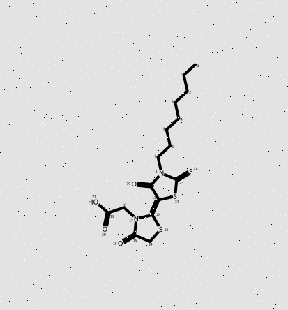 CCCCCCCCN1C(=O)/C(=C2/SCC(=O)N2CC(=O)O)SC1=S